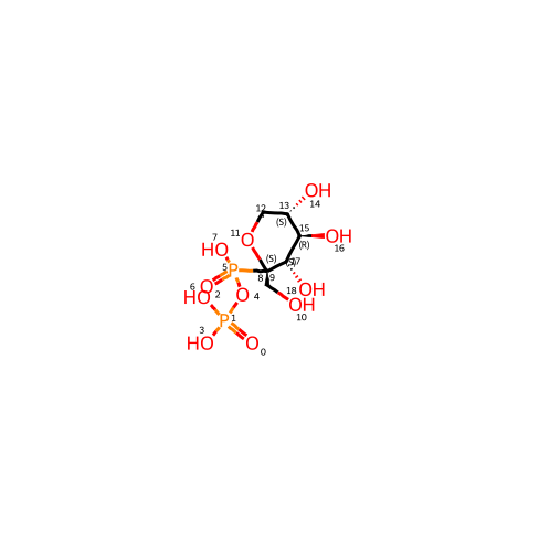 O=P(O)(O)OP(=O)(O)[C@]1(CO)O[CH][C@H](O)[C@@H](O)[C@@H]1O